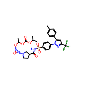 Cc1ccc(-c2cc(C(F)(F)F)nn2-c2ccc(S(=O)(=O)NC(=O)C3CCN(n4on4OC(C)OC(=O)OC(C)C)C3)cc2)cc1